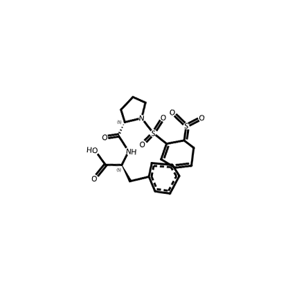 O=C(O)[C@H](Cc1ccccc1)NC(=O)[C@@H]1CCCN1S(=O)(=O)C1=CC=CCC1=S(=O)=O